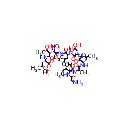 CC[C@H](C)[C@H](NC(=O)CN)C(=O)N[C@@H](C)C(=O)N[C@@H](CC(C)C)C(=O)N[C@@H](CC(=O)O)C(=O)N[C@@H](CC(C)C)C(=O)N[C@@H](CO)C(=O)N[C@H](C(=O)N[C@@H](CC(C)C)C(=O)O)[C@@H](C)O